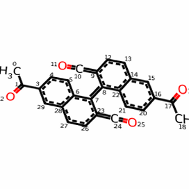 CC(=O)c1ccc2c(=c3c(=C=O)ccc4cc(C(C)=O)ccc34)c(=C=O)ccc2c1